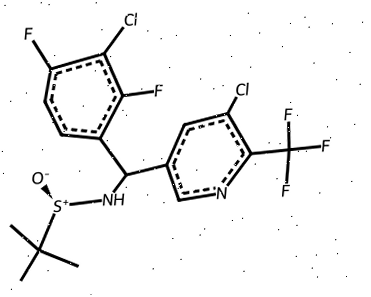 CC(C)(C)[S@@+]([O-])NC(c1cnc(C(F)(F)F)c(Cl)c1)c1ccc(F)c(Cl)c1F